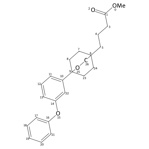 COC(=O)CCCC12CCC(c3cccc(Oc4ccccc4)c3)(CC1)OC2